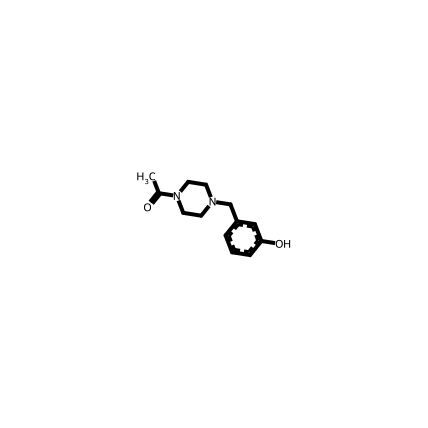 CC(=O)N1CCN(Cc2cccc(O)c2)CC1